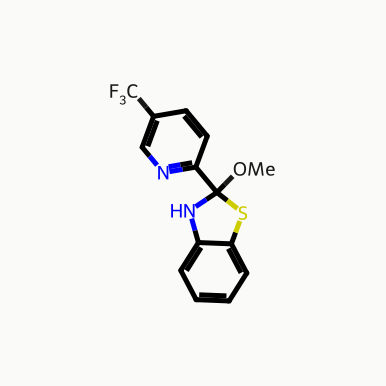 COC1(c2ccc(C(F)(F)F)cn2)Nc2ccccc2S1